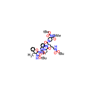 COC(=O)C1(NC(=O)OC(C)(C)C)CCN(C(=O)[C@@H](CCCCNC(=O)OC(C)(C)C)NC(=O)[C@@H](CC(C)C)NC(=O)[C@@H](Cc2ccccc2)NC(=O)[C@H](NC(=O)OC(C)(C)C)[C@H](C)c2ccccc2)CC1